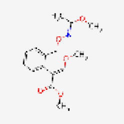 CO/C=C(/C(=O)OC)c1ccccc1CO/N=C(\C)OC